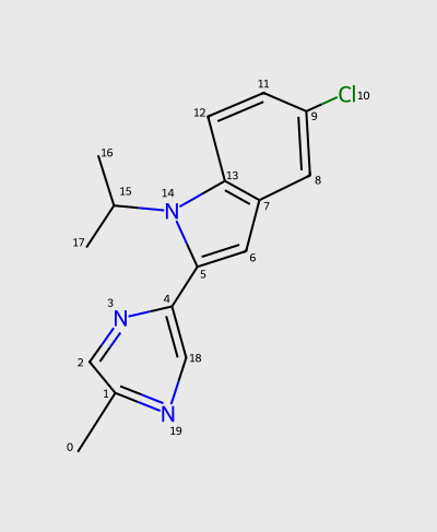 Cc1cnc(-c2cc3cc(Cl)ccc3n2C(C)C)cn1